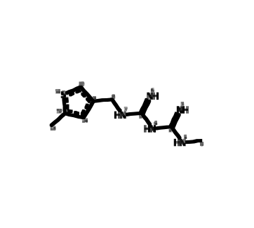 CNC(=N)NC(=N)NCc1csc(C)c1